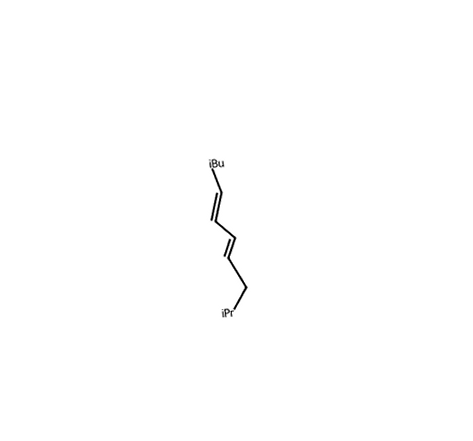 C[CH]C(C)C=CC=CCC(C)C